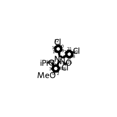 COc1ccc(C2=NC(c3ccc(Cl)cc3)C(c3ccc(Cl)cc3)N2C(=O)Cl)c(OC(C)C)c1